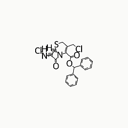 O=C(OC(c1ccccc1)c1ccccc1)C1=C(CCl)CS[C@@H]2[C@H](NCl)C(=O)N12